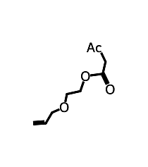 C=CCOCCOC(=O)CC(C)=O